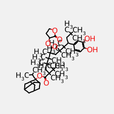 CC(C)C1(OC(=O)C(C)(CC(C)(C)C(C)(C)C(C)(CC(C)(C)C(C)(C)C(CC(C)(C)C)c2ccc(O)c(O)c2)C(=O)OC2CCOC2=O)C(C)(C)C)C2CC3CC(C2)CC1C3